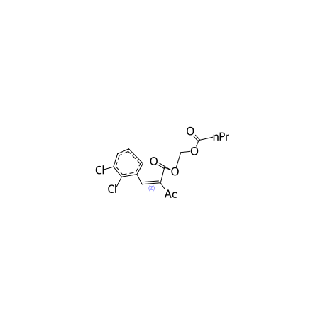 CCCC(=O)OCOC(=O)/C(=C\c1cccc(Cl)c1Cl)C(C)=O